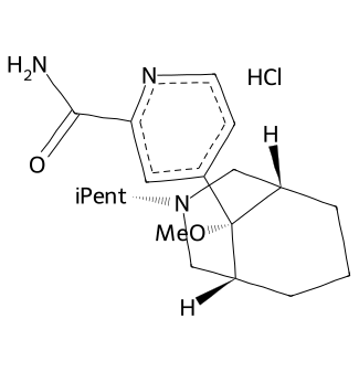 CCC[C@@H](C)N1C[C@H]2CCC[C@@H](C1)[C@]2(OC)c1ccnc(C(N)=O)c1.Cl